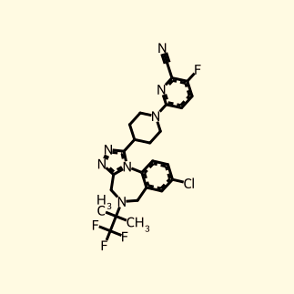 CC(C)(N1Cc2cc(Cl)ccc2-n2c(nnc2C2CCN(c3ccc(F)c(C#N)n3)CC2)C1)C(F)(F)F